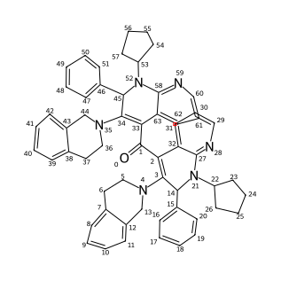 O=C(C1=C(N2CCc3ccccc3C2)C(c2ccccc2)N(C2CCCC2)c2ncccc21)C1=C(N2CCc3ccccc3C2)C(c2ccccc2)N(C2CCCC2)c2ncccc21